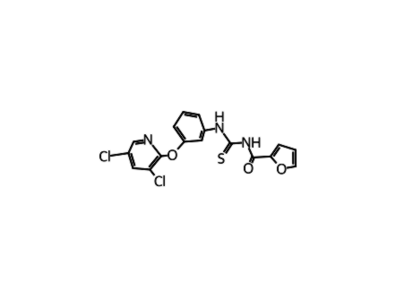 O=C(NC(=S)Nc1cccc(Oc2ncc(Cl)cc2Cl)c1)c1ccco1